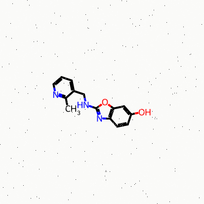 Cc1ncccc1CNc1nc2ccc(O)cc2o1